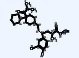 CN(C)C(=O)C1(N2CCCCC2)CCN(CC[C@H](CN(C)C(=O)OC(C)(C)C)c2ccc(Cl)c(Cl)c2)CC1